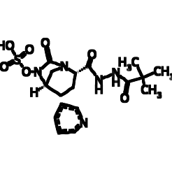 CC(C)(C)C(=O)NNC(=O)[C@@H]1CC[C@@H]2CN1C(=O)N2OS(=O)(=O)O.c1ccncc1